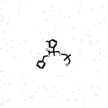 Cc1cccc(C(C)(COCC(C)(C)CBr)C(=O)OCc2ccccc2)c1